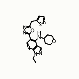 CCn1ncc2c(NC3CCOCC3)c(-c3nnc(Cc4ccns4)o3)cnc21